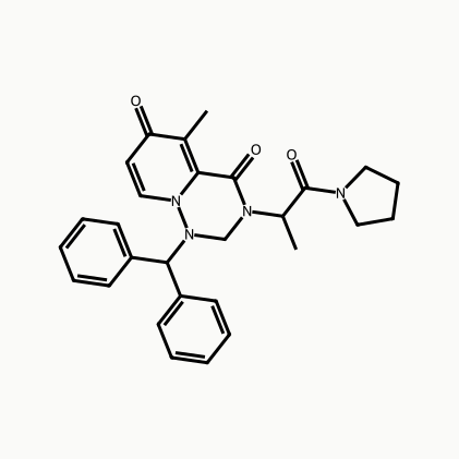 Cc1c2n(ccc1=O)N(C(c1ccccc1)c1ccccc1)CN(C(C)C(=O)N1CCCC1)C2=O